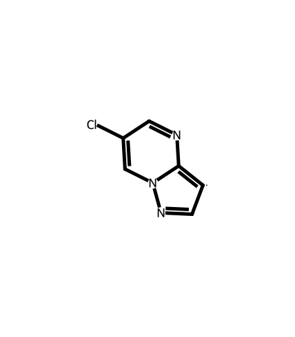 Clc1cnc2[c]cnn2c1